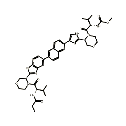 CCC(=O)N[C@H](C(=O)N1CCOC[C@H]1c1nc2cc(-c3ccc4cc(-c5c[nH]c([C@@H]6COCCN6C(=O)[C@@H](NC(=O)OC)C(C)C)n5)ccc4c3)ccc2[nH]1)C(C)C